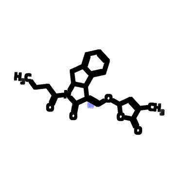 CCCC(=O)N1C(=O)/C(=C/OC2C=C(C)C(=O)O2)C2c3ccccc3CC21